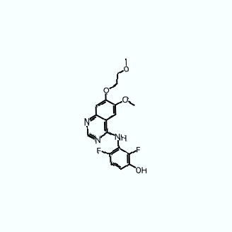 COCCOc1cc2ncnc(Nc3c(F)ccc(O)c3F)c2cc1OC